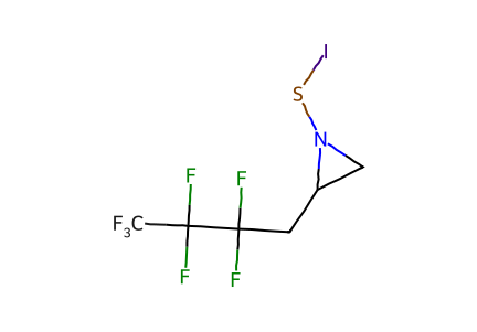 FC(F)(F)C(F)(F)C(F)(F)CC1CN1SI